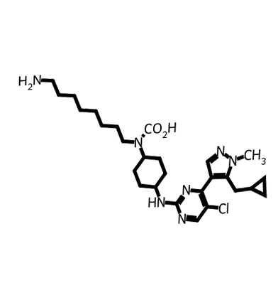 Cn1ncc(-c2nc(NC3CCC(N(CCCCCCCCN)C(=O)O)CC3)ncc2Cl)c1CC1CC1